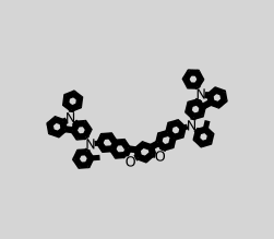 Cc1ccccc1N(c1ccc2cc3c(cc2c1)oc1cc2oc4cc5cc(N(c6ccc7c(c6)c6ccccc6n7-c6ccccc6)c6ccccc6C)ccc5cc4c2cc13)c1ccc2c(c1)c1ccccc1n2-c1ccccc1